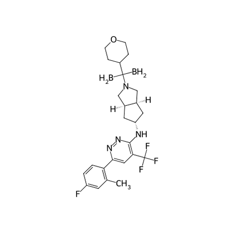 BC(B)(C1CCOCC1)N1C[C@H]2C[C@H](Nc3nnc(-c4ccc(F)cc4C)cc3C(F)(F)F)C[C@H]2C1